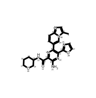 Cc1cnc2ccc(-c3nc(C(=O)NC4CCCOC4)c(N)nc3-c3ncco3)cn12